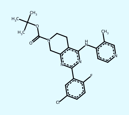 Cc1cnccc1Nc1nc(-c2cc(Cl)ccc2F)nc2c1CCN(C(=O)OC(C)(C)C)C2